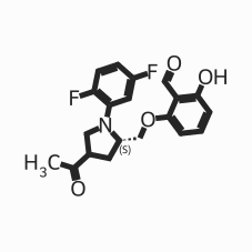 CC(=O)C1C[C@@H](COc2cccc(O)c2C=O)N(c2cc(F)ccc2F)C1